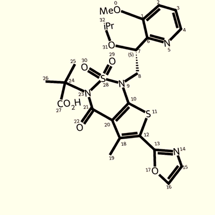 COc1cccnc1[C@H](CN1c2sc(-c3ncco3)c(C)c2C(=O)N(C(C)(C)C(=O)O)S1(=O)=O)OC(C)C